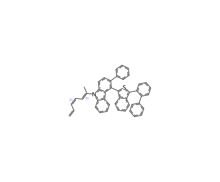 C=C/C=C\C=C(/C)n1c2ccccc2c2c(-c3sc(-c4ccccc4-c4ccccc4)c4ccccc34)c(-c3ccccc3)ccc21